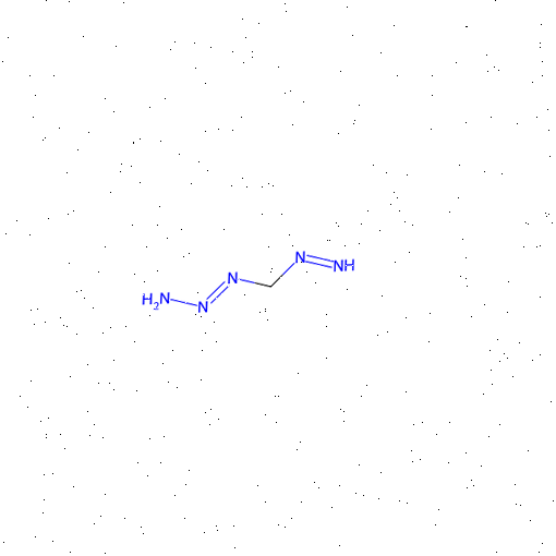 N=NCN=NN